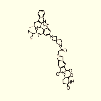 C[C@@H]1Cc2c([nH]c3ccccc23)[C@@H](c2c(F)cc(N3CC4(CCN(C(=O)CN5Cc6cc7c(cc6C5)C(=O)N(C5CCC(=O)NC5=O)C7=O)C4)C3)cc2F)N1CC(F)F